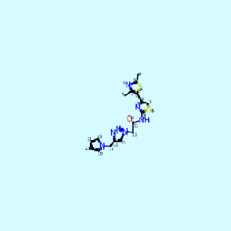 Cc1nc(C)c(-c2csc(NC(=O)Cn3cc(Cn4cccc4)nn3)n2)s1